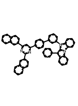 c1ccc(-c2c3ccccc3n3c4ccccc4n(-c4cccc(-c5ccc(-c6cc(-c7ccc8ccccc8c7)nc(-c7ccc8ccccc8c7)n6)cc5)c4)c23)cc1